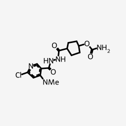 CNc1cc(Cl)ncc1C(=O)NNC(=O)C1CCC(OC(N)=O)CC1